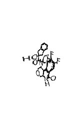 CN(C(=O)C1(O)Cc2ccccc2C1)C1COCc2[nH]c(=O)c3cc(F)c(F)cc3c21